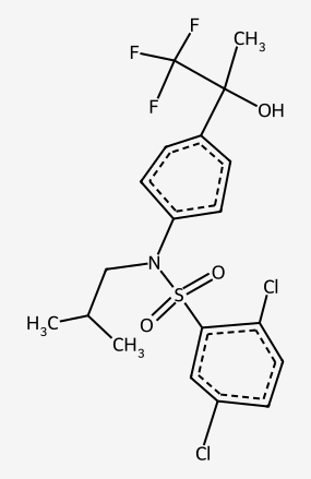 CC(C)CN(c1ccc(C(C)(O)C(F)(F)F)cc1)S(=O)(=O)c1cc(Cl)ccc1Cl